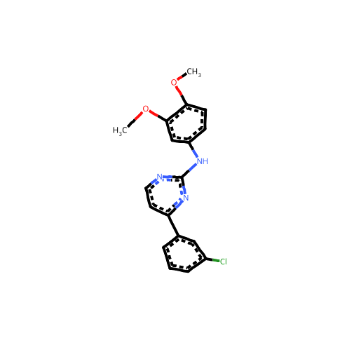 COc1ccc(Nc2nccc(-c3cccc(Cl)c3)n2)cc1OC